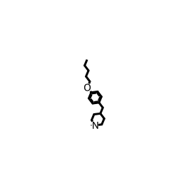 CCCCCOc1ccc(CC2CC[N]CC2)cc1